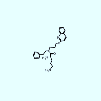 NCCC[C@H](N)C(=O)N(CCCOc1ccc2ccccc2n1)CCc1ccccc1